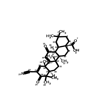 CC1(C)CC[C@]2(C(=O)O)CC[C@]3(C)[C@@H](C(=O)C=C4[C@@]5(C)C=C(C#N)C(=O)C(C)(C)[C@@H]5CC[C@]43C)C2C1